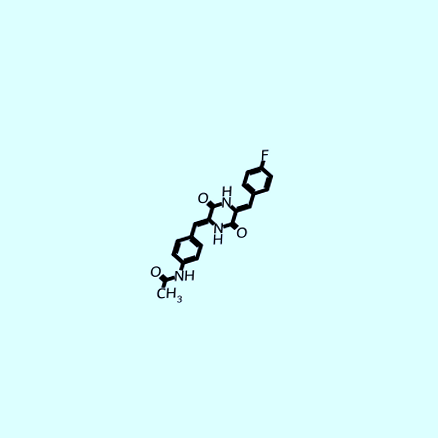 CC(=O)Nc1ccc(/C=c2\[nH]c(=O)/c(=C/c3ccc(F)cc3)[nH]c2=O)cc1